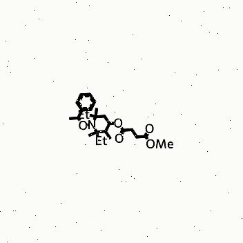 CCC1(C)CC(OC(=O)CCC(=O)OC)C(C)C(C)(CC)N1OC(C)c1ccccc1